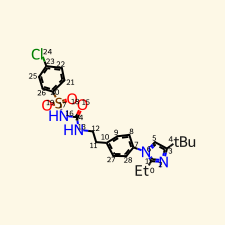 CCc1nc(C(C)(C)C)cn1-c1ccc(CCNC(=O)NS(=O)(=O)c2ccc(Cl)cc2)cc1